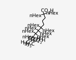 CC(=O)O.CC(=O)O.CC(=O)O.CCCCCCC(CCCCCC)(CCCC(CCCCCC)(CCCCCC)C(CCCCCC)(CCCCCC)C(CCCCCC)(CCCCCC)CCCCCC)C(=O)O